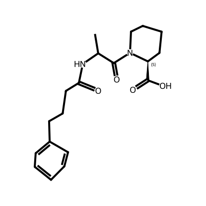 CC(NC(=O)CCCc1ccccc1)C(=O)N1CCCC[C@H]1C(=O)O